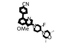 COc1c(N2CC[C@@H](N3C[C@@H](C)O[C@@H](C)C3)[C@@H](F)C2)cnc2c(-c3ccc(C#N)cc3)cccc12